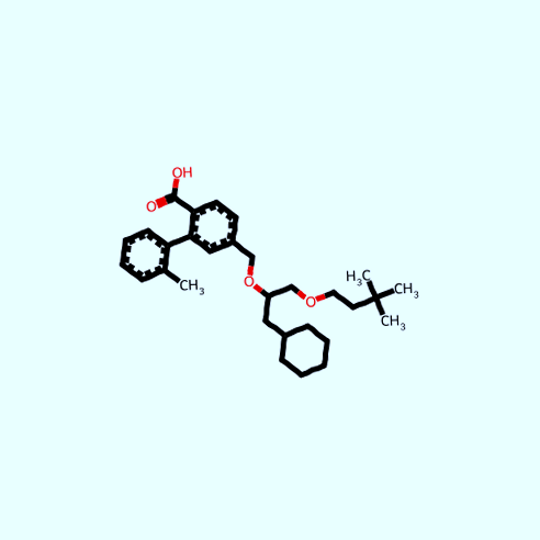 Cc1ccccc1-c1cc(COC(COCCC(C)(C)C)CC2CCCCC2)ccc1C(=O)O